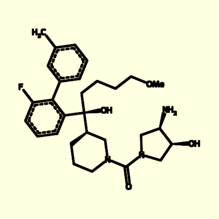 COCCCC[C@@](O)(c1cccc(F)c1-c1cccc(C)c1)[C@@H]1CCCN(C(=O)N2C[C@@H](N)[C@@H](O)C2)C1